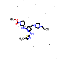 Cc1cnc(Nc2cc(CN3CCN(CCC#N)CC3)cc(N[C@H]3CCCN(C(=O)OC(C)(C)C)C3)n2)s1